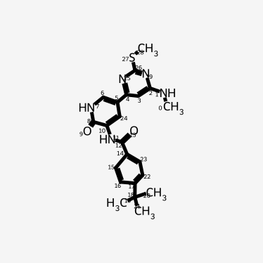 CNc1cc(-c2c[nH]c(=O)c(NC(=O)c3ccc(C(C)(C)C)cc3)c2)nc(SC)n1